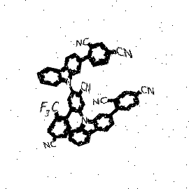 N#Cc1ccc(-c2ccc3c4ccccc4n(-c4cc(-c5ccc(C#N)cc5C(F)(F)F)c(-n5c6ccccc6c6ccc(-c7ccc(C#N)cc7C#N)cc65)cc4C#N)c3c2)c(C#N)c1